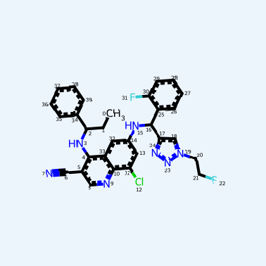 CCC(Nc1c(C#N)cnc2c(Cl)cc(NC(c3cn(CCF)nn3)c3ccccc3F)cc12)c1ccccc1